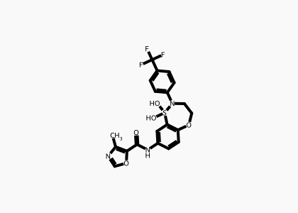 Cc1ncoc1C(=O)Nc1ccc2c(c1)S(O)(O)N(c1ccc(C(F)(F)F)cc1)CCO2